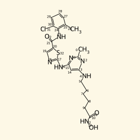 Cc1nc(NCCCCCC(=O)NO)cc(Nc2ncc(C(=O)Nc3c(C)cccc3Cl)s2)n1